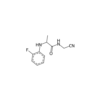 CC(Nc1ccccc1F)C(=O)NCC#N